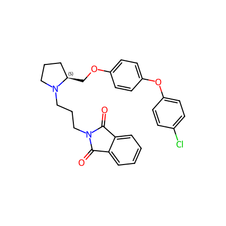 O=C1c2ccccc2C(=O)N1CCCN1CCC[C@H]1COc1ccc(Oc2ccc(Cl)cc2)cc1